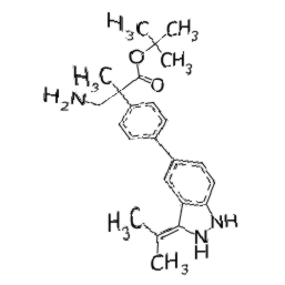 CC(C)=C1NNc2ccc(-c3ccc(C(C)(CN)C(=O)OC(C)(C)C)cc3)cc21